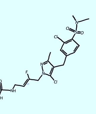 Cc1nn(C/C(F)=C/CNC(=O)O)c(Cl)c1Cc1ccc(S(=O)(=O)N(C)C)c(Cl)c1